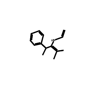 C=CNC(=C(C)C)C(C)c1ccccc1